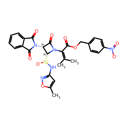 CC(C)=C(C(=O)OCc1ccc([N+](=O)[O-])cc1)N1C(=O)[C@@H](N2C(=O)c3ccccc3C2=O)[C@H]1[S+]([O-])Nc1cc(C)on1